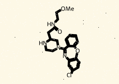 COCCNC(=O)CC1CN(C2=Nc3cc(Cl)ccc3Oc3ccccc32)CCN1